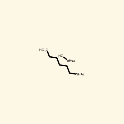 CC(=O)NCCCCCC(=O)O.CCCCCCO